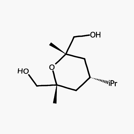 CC(C)[C@@H]1C[C@](C)(CO)O[C@](C)(CO)C1